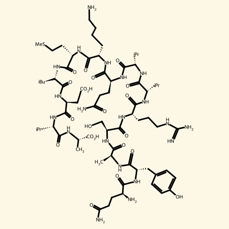 CC[C@H](C)[C@H](NC(=O)[C@H](CCSC)NC(=O)[C@H](CCCCN)NC(=O)[C@H](CCC(N)=O)NC(=O)[C@@H](NC(=O)[C@@H](NC(=O)[C@H](CCCNC(=N)N)NC(=O)[C@H](CO)NC(=O)[C@H](C)NC(=O)[C@H](Cc1ccc(O)cc1)NC(=O)[C@@H](N)CCC(N)=O)C(C)C)C(C)C)C(=O)N[C@@H](CC(=O)O)C(=O)N[C@H](C(=O)N[C@@H](C)C(=O)O)C(C)C